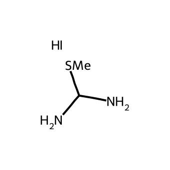 CSC(N)N.I